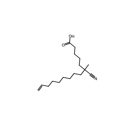 C=CCCCCCCCC(C)(C#N)CCCCC(=O)O